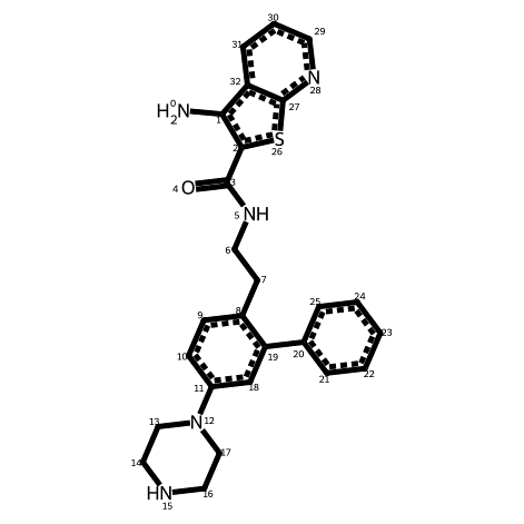 Nc1c(C(=O)NCCc2ccc(N3CCNCC3)cc2-c2ccccc2)sc2ncccc12